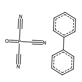 N#CP(=O)(C#N)C#N.c1ccc(-c2ccccc2)cc1